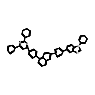 C1=CC(c2nc(-c3ccccc3)cc(-c3ccc(-c4cccc5cc(-c6ccc(-c7ccc8c(c7)ncn8C7=CCCC=C7)cc6)ccc45)cc3)n2)=CCC1